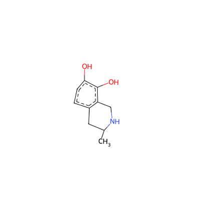 CC1Cc2ccc(O)c(O)c2CN1